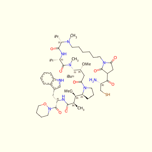 CC[C@H](C)[C@@H]([C@@H](CC(=O)N1CCC[C@H]1[C@H](OC)[C@@H](C)C(=O)N[C@@H](Cc1c[nH]c2ccccc12)C(=O)N1CCCCO1)OC)N(C)C(=O)[C@@H](NC(=O)[C@H](C(C)C)N(C)CCCCCCN1C(=O)CC(C(=O)[C@@H](N)CS)C1=O)C(C)C